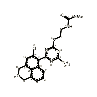 CNC(=O)NCCSc1nc(N)nc(-c2c(Cl)cc3c4c(cccc24)COC3)n1